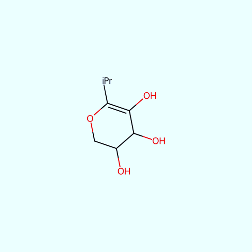 CC(C)C1=C(O)C(O)C(O)CO1